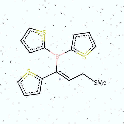 CSC/C=C(\B(c1cccs1)c1cccs1)c1cccs1